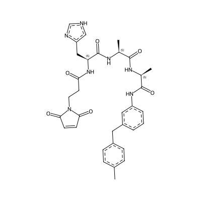 Cc1ccc(Cc2cccc(NC(=O)[C@H](C)NC(=O)[C@H](C)NC(=O)[C@H](Cc3c[nH]cn3)NC(=O)CCN3C(=O)C=CC3=O)c2)cc1